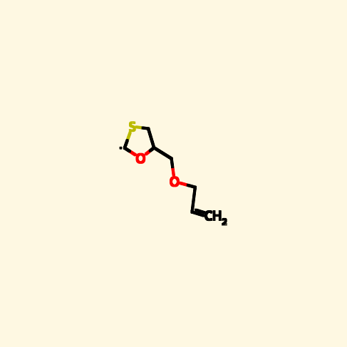 C=CCOCC1CS[CH]O1